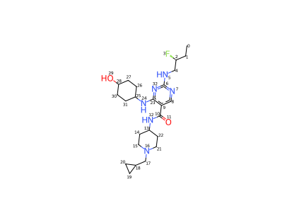 CC[C@H](F)CNc1ncc(C(=O)NC2CCN(CC3CC3)CC2)c(NC2CCC(O)CC2)n1